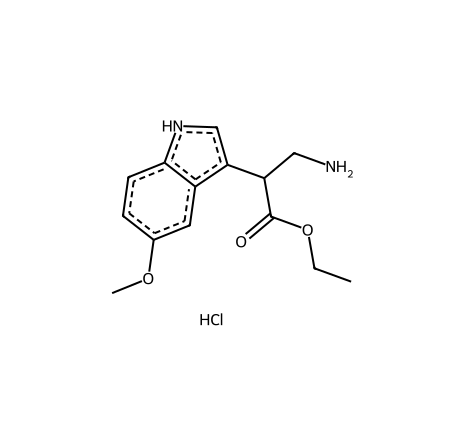 CCOC(=O)C(CN)c1c[nH]c2ccc(OC)cc12.Cl